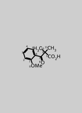 COc1ccccc1C(=O)C(C)(C)C(=O)O